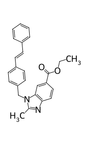 CCOC(=O)c1ccc2nc(C)n(Cc3ccc(C=Cc4ccccc4)cc3)c2c1